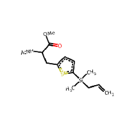 C=CC[Si](C)(C)c1ccc(CC(NC(C)=O)C(=O)OC)s1